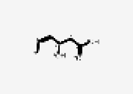 C/C=C\[C@H](O)CC(=O)O